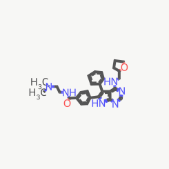 CN(C)CCNC(=O)c1ccc(-c2[nH]c3ncnc(NCC4CCCO4)c3c2-c2ccccc2)cc1